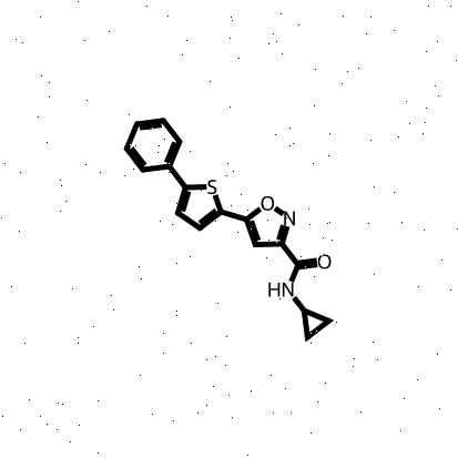 O=C(NC1CC1)c1cc(-c2ccc(-c3ccccc3)s2)on1